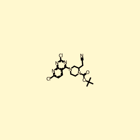 CC(C)(C)OC(=O)N1CCN(c2nc(Cl)nc3nc(Cl)ccc23)CC1CC#N